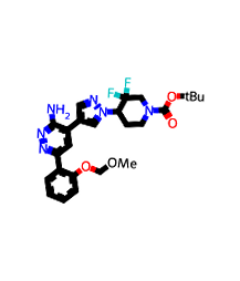 COCOc1ccccc1-c1cc(-c2cnn(C3CCN(C(=O)OC(C)(C)C)CC3(F)F)c2)c(N)nn1